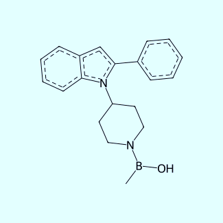 CB(O)N1CCC(n2c(-c3ccccc3)cc3ccccc32)CC1